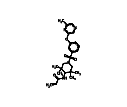 C=CC(=O)NC1C(C)(C)CN(S(=O)(=O)c2cccc(Oc3cncc(C)n3)c2)CC1(C)C